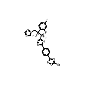 CCc1nc(-c2ccc(-c3nsc([C@H](C)[C@](O)(Cn4cncn4)c4ccc(F)cc4F)n3)cc2)ns1